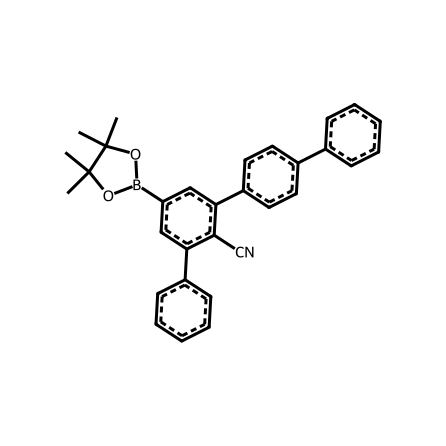 CC1(C)OB(c2cc(-c3ccccc3)c(C#N)c(-c3ccc(-c4ccccc4)cc3)c2)OC1(C)C